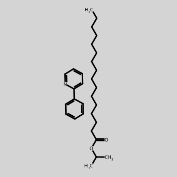 CCCCCCCCCCCCCCCC(=O)OC(C)C.c1ccc(-c2ccccn2)cc1